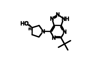 CC(C)(C)c1nc(N2CC[C@@H](O)C2)c2nn[nH]c2n1